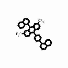 FC(F)(F)c1ccc2c(-c3ccc(-c4cccc5ccccc45)cc3)c3ccc(C(F)(F)F)cc3c(-c3cccc4ccccc34)c2c1